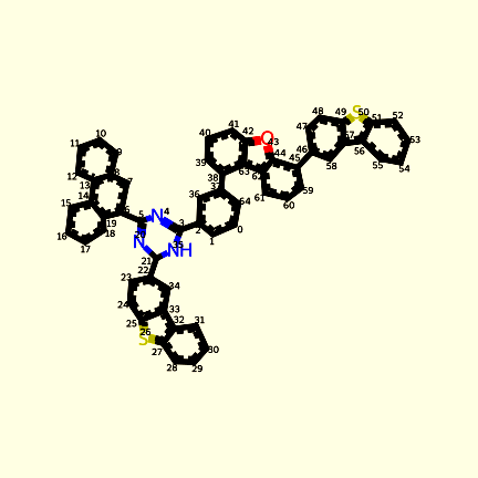 c1cc(C2=NC(c3cc4ccccc4c4ccccc34)=NC(c3ccc4sc5ccccc5c4c3)N2)cc(-c2cccc3oc4c(-c5ccc6sc7ccccc7c6c5)cccc4c23)c1